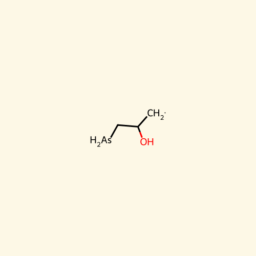 [CH2]C(O)C[AsH2]